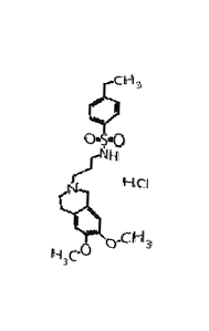 CCc1ccc(S(=O)(=O)NCCCN2CCc3cc(OC)c(OC)cc3C2)cc1.Cl